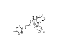 Cc1ccc(CC=CCS(=O)(=O)c2nc3cscc3n2C(=O)OC(C)(C)C)nc1